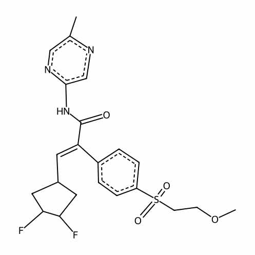 COCCS(=O)(=O)c1ccc(/C(=C\C2CC(F)C(F)C2)C(=O)Nc2cnc(C)cn2)cc1